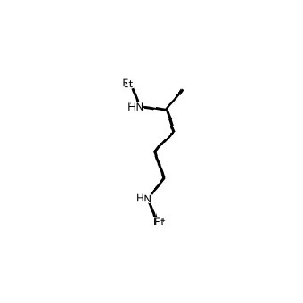 CCNCCCC(C)NCC